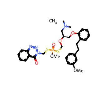 C.COc1cccc(CCc2ccccc2OC[C@H](CN(C)C)OCSP(=O)(OC)SCn2nnc3ccccc3c2=O)c1